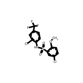 COc1ccc(Cl)cc1S(=O)(=O)Nc1ccc(C(F)(F)F)cc1Cl